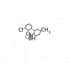 Cc1ccc(N2BCCO2)c(-c2cccc(Cl)c2)c1